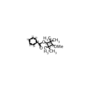 COC1C(C)(C)C(OC(=O)c2ccccc2)C1(C)C